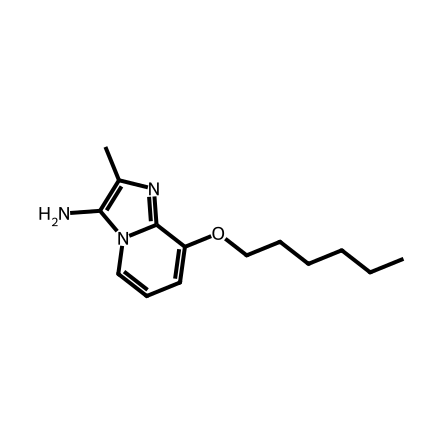 CCCCCCOc1cccn2c(N)c(C)nc12